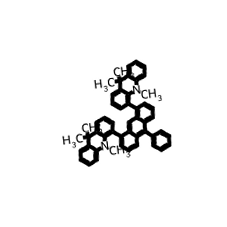 CN1c2ccccc2C(C)(C)c2cccc(-c3cccc4c(-c5ccccc5)c5cccc(-c6cccc7c6N(C)c6ccccc6C7(C)C)c5cc34)c21